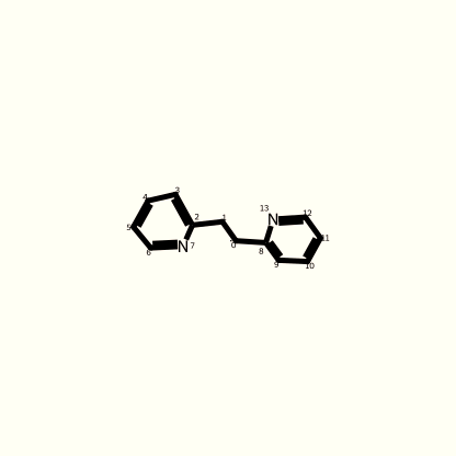 [CH](Cc1ccccn1)c1ccccn1